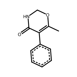 CC1=C(c2ccccc2)C(=O)NCO1